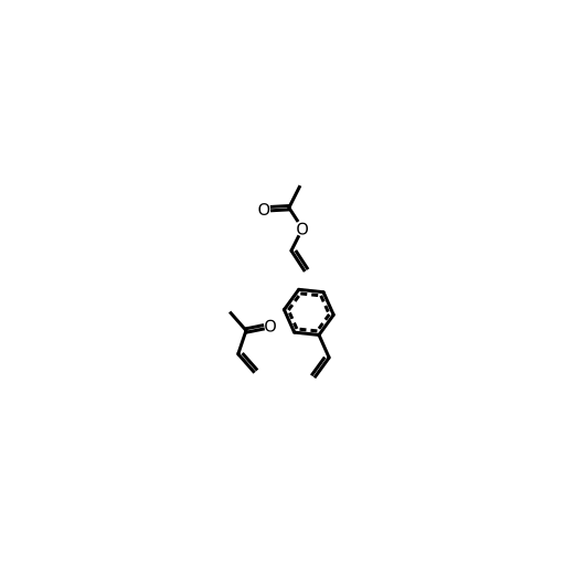 C=CC(C)=O.C=COC(C)=O.C=Cc1ccccc1